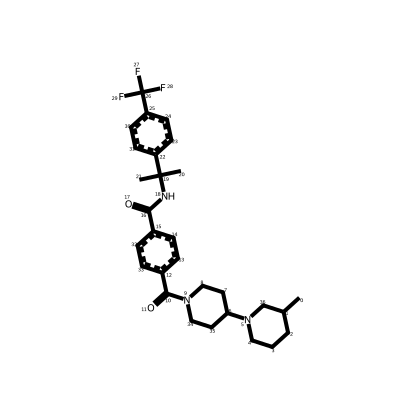 CC1CCCN(C2CCN(C(=O)c3ccc(C(=O)NC(C)(C)c4ccc(C(F)(F)F)cc4)cc3)CC2)C1